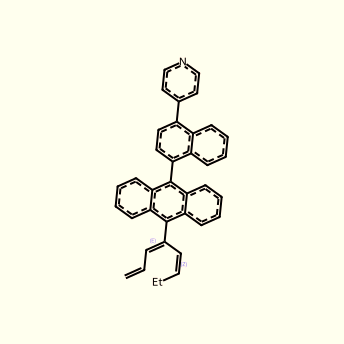 C=C/C=C(\C=C/CC)c1c2ccccc2c(-c2ccc(-c3ccncc3)c3ccccc23)c2ccccc12